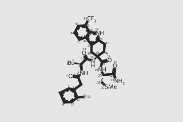 CCC(C)[C@H](NC(=O)Cc1ccccc1F)C(=O)N[C@]1(C(=O)N[C@@H](CSC)C(N)=O)CCc2[nH]c3c(C(F)(F)F)cccc3c2C1